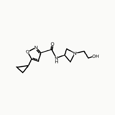 O=C(NC1CN(CCO)C1)c1cc(C2CC2)on1